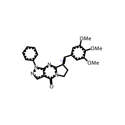 COc1cc(/C=C2\CCn3c2nc2c(cnn2-c2ccccc2)c3=O)cc(OC)c1OC